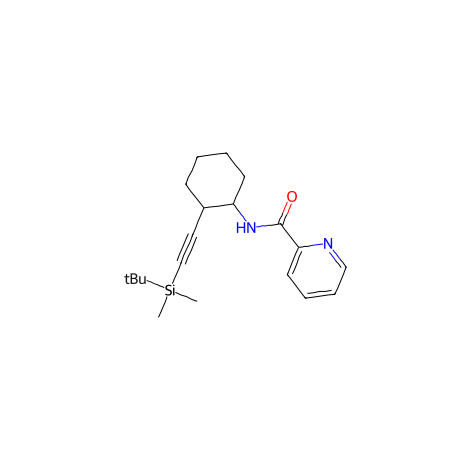 CC(C)(C)[Si](C)(C)C#CC1CCCCC1NC(=O)c1ccccn1